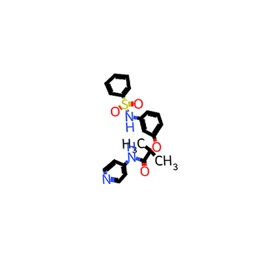 CC(C)(Oc1cccc(NS(=O)(=O)c2ccccc2)c1)C(=O)Nc1ccncc1